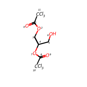 O=C(OCC(CO)OC(=O)C(Cl)(Cl)Cl)C(Cl)(Cl)Cl